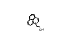 OCCN1C=Cc2cccc3cccc1c23